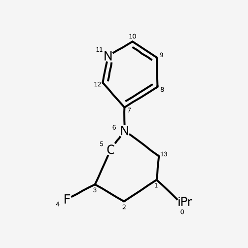 CC(C)C1CC(F)CN(c2cccnc2)C1